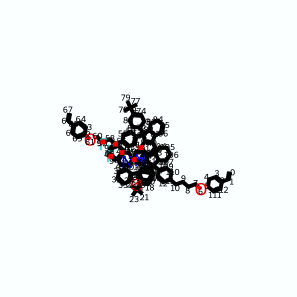 C=CC1=CCC(OCCCCC2C=CC(C3(c4ccc(C(C)(C)C)cc4)c4cc(N(c5cccc6c5C5C(N(C7C=CC(F)=CC7)C7C=CC8=C(C7)C(c7ccc(CCCCOc9ccc(C=C)cc9)cc7)(C7CC=C(C(C)(C)C)CC7)C7CCC=CC87)=CC=CC5O6)C5C=CC(F)=CC5)ccc4C4CCCCC43)=CC2)C=C1